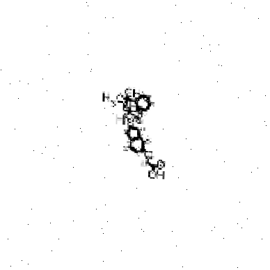 CC(C)(C)c1ccccc1S(=O)(=O)NC1Cc2ccc(OCC(=O)O)cc2C1